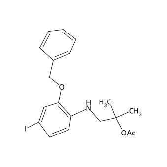 CC(=O)OC(C)(C)CNc1ccc(I)cc1OCc1ccccc1